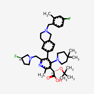 Cc1cc(F)ccc1CN1CCc2cc(-c3c(CN4CC[C@@H](F)C4)nc(C)c([C@H](OC(C)(C)C)C(=O)O)c3N3CCC(C)(C)CC3)ccc2C1